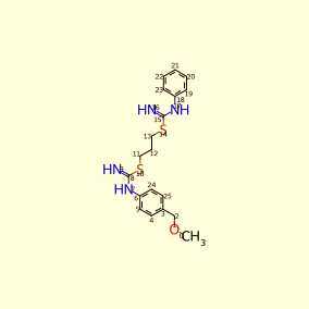 COCc1ccc(NC(=N)SCCCSC(=N)Nc2ccccc2)cc1